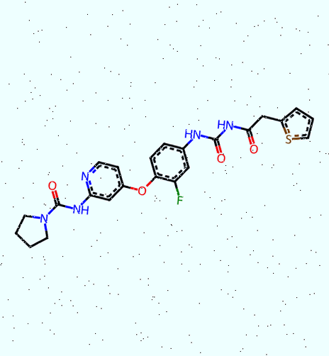 O=C(Cc1cccs1)NC(=O)Nc1ccc(Oc2ccnc(NC(=O)N3CCCC3)c2)c(F)c1